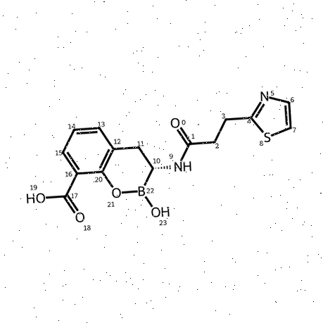 O=C(CCc1nccs1)N[C@H]1Cc2cccc(C(=O)O)c2OB1O